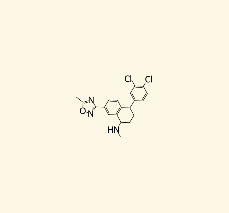 CNC1CCC(c2ccc(Cl)c(Cl)c2)c2ccc(-c3noc(C)n3)cc21